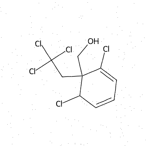 OCC1(CC(Cl)(Cl)Cl)C(Cl)=CC=CC1Cl